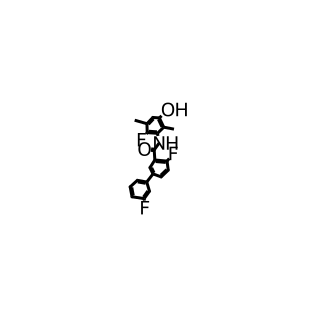 Cc1cc(O)c(C)c(NC(=O)c2cc(-c3cccc(F)c3)ccc2F)c1F